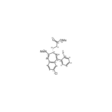 CNC1=Nc2ccc(Cl)cc2C(c2ccccc2F)=N[C@H]1CCC(=O)OC